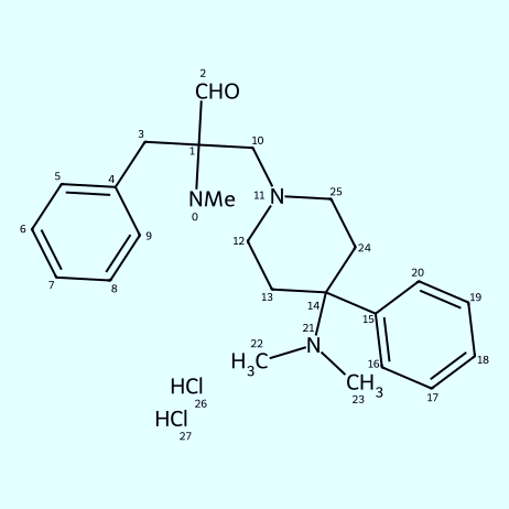 CNC(C=O)(Cc1ccccc1)CN1CCC(c2ccccc2)(N(C)C)CC1.Cl.Cl